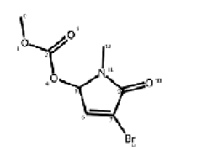 COC(=O)OC1C=C(Br)C(=O)N1C